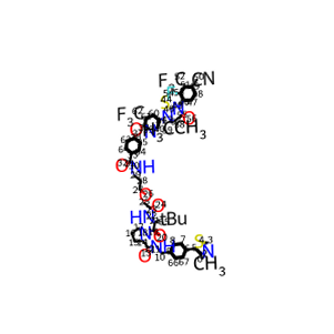 Cc1ncsc1-c1ccc(CNC(=O)C2CCCN2C(=O)C(NC(=O)COCCCNC(=O)c2ccc(Oc3ncc(N4C(=S)N(c5ccc(C#N)c(C(F)(F)F)c5F)C(=O)C4(C)C)cc3C(F)(F)F)cc2)C(C)(C)C)cc1